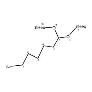 [Li][CH2]CCCCC(OCCCCCC)OCCCCCC